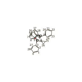 c1ccc(P(c2ccccc2)C2(P(c3ccccc3)c3ccccc3)CC2)cc1